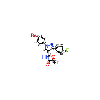 CC[C@@H]1OC(c2cn(-c3ccc(Br)cc3)nc2-c2ccc(F)cc2)NC1=O